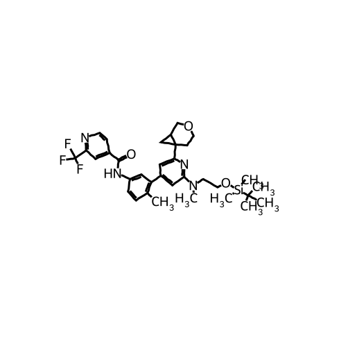 Cc1ccc(NC(=O)c2ccnc(C(F)(F)F)c2)cc1-c1cc(N(C)CCO[Si](C)(C)C(C)(C)C)nc(C23CCOCC2C3)c1